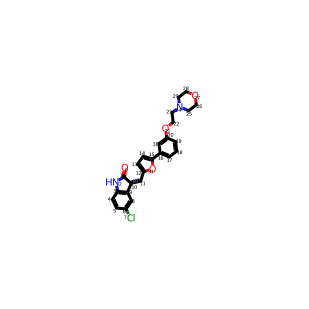 O=C1Nc2ccc(Cl)cc2/C1=C/c1ccc(-c2cccc(OCCN3CCOCC3)c2)o1